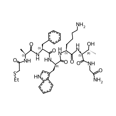 CCSCC(=O)N[C@@H](C)C(=O)N[C@@H](Cc1ccccc1)C(=O)N[C@H](Cc1c[nH]c2ccccc12)C(=O)N[C@@H](CCCCN)C(=O)N[C@H](C(=O)NCC(N)=O)[C@@H](C)O